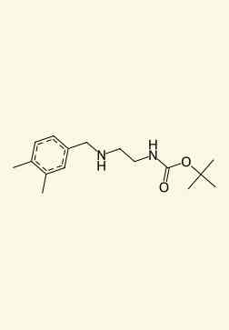 Cc1ccc(CNCCNC(=O)OC(C)(C)C)cc1C